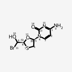 Nc1ccn([C@H]2CS[C@@H](C(O)Br)O2)c(=O)n1